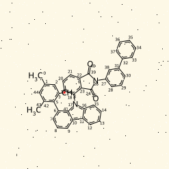 Cc1cc(C)c(-c2cccc3c4ccccc4n(-c4cccc5c4C(=O)N(c4cccc(-c6ccccc6)c4)C5=O)c23)c(C)c1